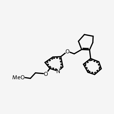 COCCOc1ccc(OCC2=C(c3ccccc3)CCCC2)cn1